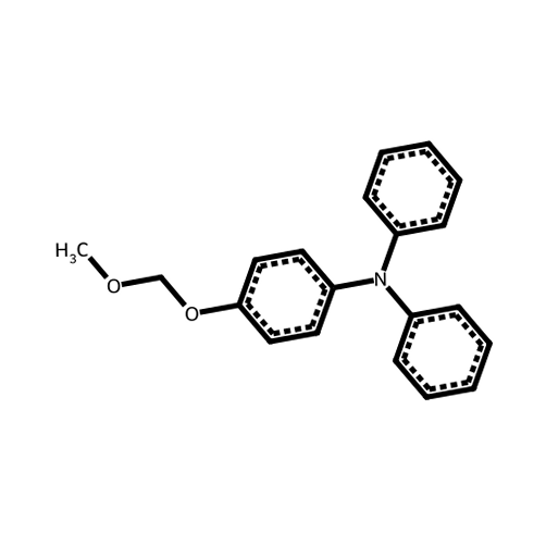 COCOc1ccc(N(c2ccccc2)c2ccccc2)cc1